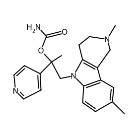 Cc1ccc2c(c1)c1c(n2CC(C)(OC(N)=O)c2ccncc2)CCN(C)C1